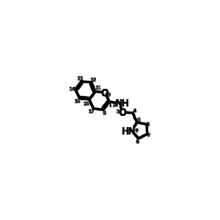 C1=C(NOCC2CCCN2)Oc2ccccc2C1